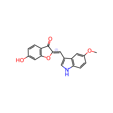 COc1ccc2[nH]cc(/C=C3\Oc4cc(O)ccc4C3=O)c2c1